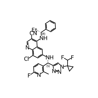 CC[C@@H](Nc1c(C#N)cnc2c(Cl)cc(N[C@H](c3cn(C4(C(F)F)CC4)nn3)c3ccc(F)nc3C)cc12)c1ccccc1